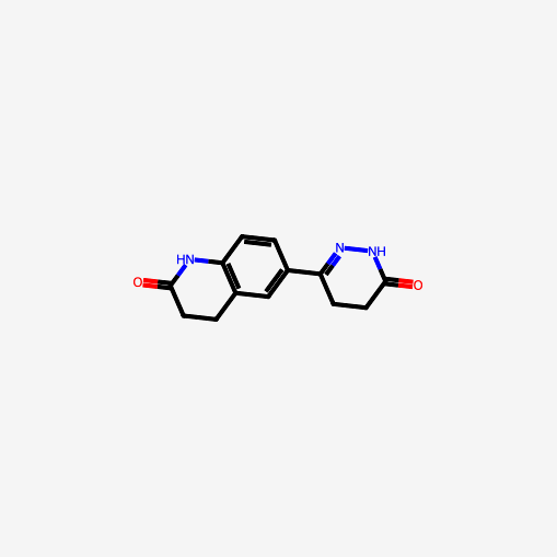 O=C1CCC(c2ccc3c(c2)CCC(=O)N3)=NN1